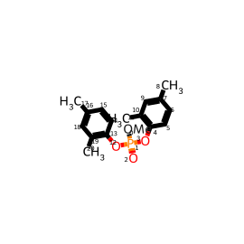 COP(=O)(Oc1ccc(C)cc1C)Oc1ccc(C)cc1C